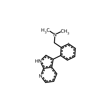 CN(C)Cc1[c]cccc1-c1c[nH]c2ncccc12